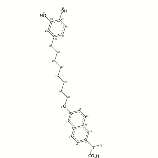 C[C@H](C(=O)O)c1ccc2cc(OCCCCCCCCc3ccc(O)c(O)c3)ccc2c1